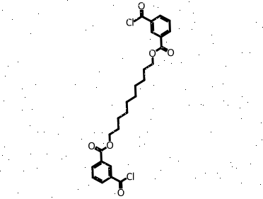 O=C(Cl)c1cccc(C(=O)OCCCCCCCCCCOC(=O)c2cccc(C(=O)Cl)c2)c1